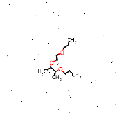 CCCOCCOC(C)C(C)OCCC